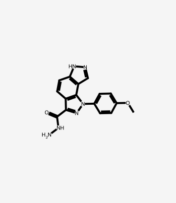 COc1ccc(-n2nc(C(=O)NN)c3ccc4[nH]ncc4c32)cc1